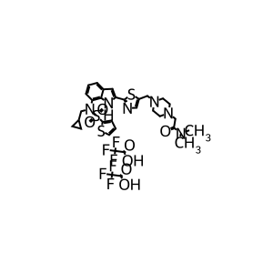 CN(C)C(=O)CN1CCN(Cc2cnc(-c3cc4cccc(N(CC5CC5)S(=O)(=O)c5cccs5)c4[nH]3)s2)CC1.O=C(O)C(F)(F)F.O=C(O)C(F)(F)F